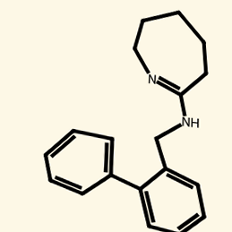 c1ccc(-c2ccccc2CNC2=NCCCCC2)cc1